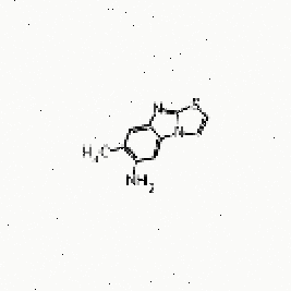 Cc1cc2nc3sccn3c2cc1N